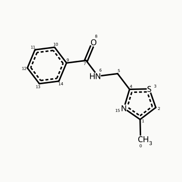 Cc1csc(CNC(=O)c2ccccc2)n1